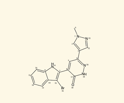 Cn1cc(-c2cc(-c3[nH]c4ccccc4c3Br)c(=O)[nH]n2)cn1